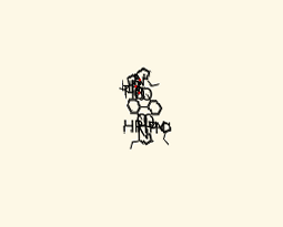 CCc1cccn1POc1cccc(OPn2cccc2CC)c1-c1c(OPn2cccc2CC)cccc1OPn1cccc1CC